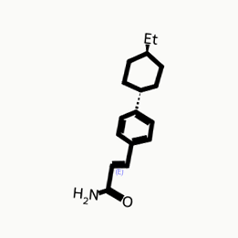 CC[C@H]1CC[C@H](c2ccc(/C=C/C(N)=O)cc2)CC1